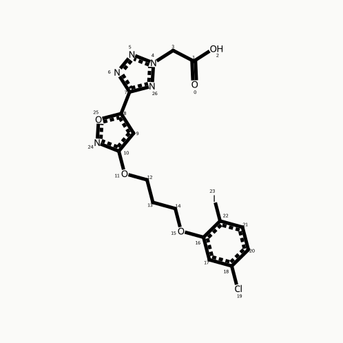 O=C(O)Cn1nnc(-c2cc(OCCCOc3cc(Cl)ccc3I)no2)n1